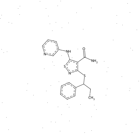 CCC(Sc1nsc(Nc2cccnc2)c1C(N)=O)c1ccccc1